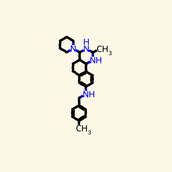 Cc1ccc(CNc2ccc3c(c2)CCC2C3NC(C)NC2N2CCCCC2)cc1